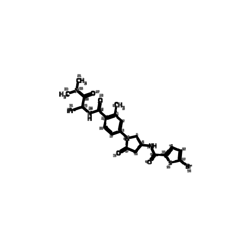 Cc1cc(N2CC(NC(=O)c3ccc(Br)s3)CC2=O)ccc1C(=O)NC(C(=O)N(C)C)C(C)C